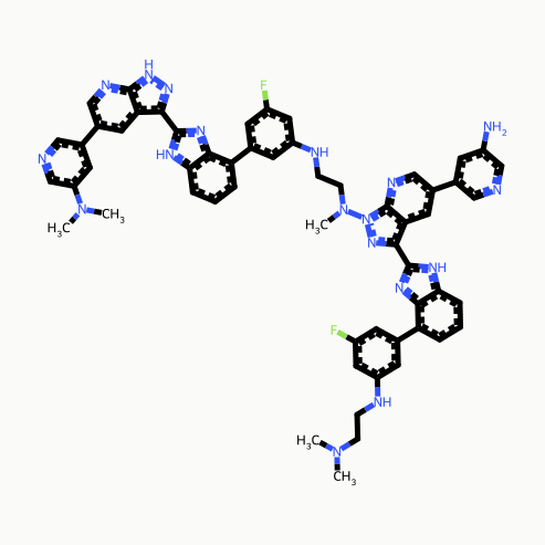 CN(C)CCNc1cc(F)cc(-c2cccc3[nH]c(-c4nn(N(C)CCNc5cc(F)cc(-c6cccc7[nH]c(-c8n[nH]c9ncc(-c%10cncc(N(C)C)c%10)cc89)nc67)c5)c5ncc(-c6cncc(N)c6)cc45)nc23)c1